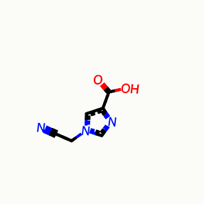 N#CCn1cnc(C(=O)O)c1